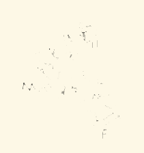 COc1nc2snc(C(=O)C(=O)N(C)C)c2cc1C(=O)N1CCCN(Cc2ccc(F)cc2)CC1